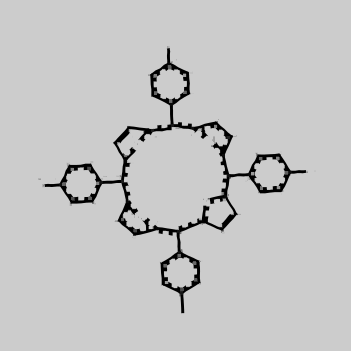 Cc1ccc(-c2c3nc(c(-c4ccc(O)cc4)c4ccc([nH]4)c(-c4ccc(O)cc4)c4nc(c(-c5ccc(O)cc5)c5ccc2[nH]5)C=C4)C=C3)cc1